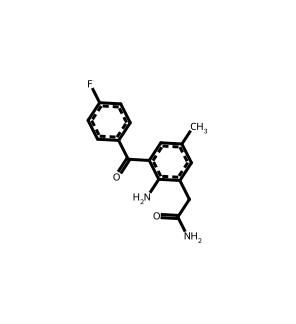 Cc1cc(CC(N)=O)c(N)c(C(=O)c2ccc(F)cc2)c1